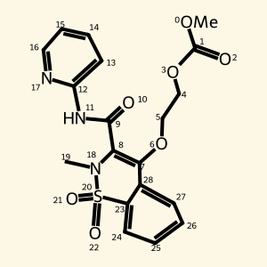 COC(=O)OCCOC1=C(C(=O)Nc2ccccn2)N(C)S(=O)(=O)c2ccccc21